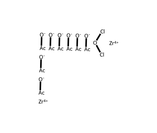 CC(=O)[O-].CC(=O)[O-].CC(=O)[O-].CC(=O)[O-].CC(=O)[O-].CC(=O)[O-].CC(=O)[O-].CC(=O)[O-].ClOCl.[Zr+4].[Zr+4]